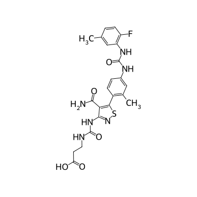 Cc1ccc(F)c(NC(=O)Nc2ccc(-c3snc(NC(=O)NCCC(=O)O)c3C(N)=O)c(C)c2)c1